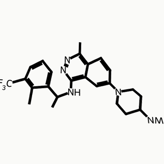 CNC1CCN(c2ccc3c(C)nnc(NC(C)c4cccc(C(F)(F)F)c4C)c3c2)CC1